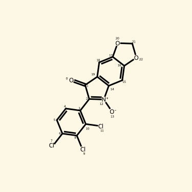 O=C1C(c2ccc(Cl)c(Cl)c2Cl)=[N+]([O-])c2cc3c(cc21)OCO3